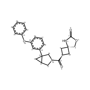 O=C1N[C@]2(CO1)C[C@H](C(=O)N1CC3CC3(c3cccc(Oc4ccccc4)c3)C1)C2